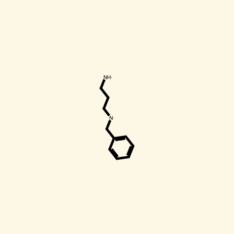 [NH]CCC[N]Cc1ccccc1